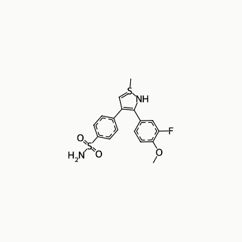 COc1ccc(C2=C(c3ccc(S(N)(=O)=O)cc3)C=S(C)N2)cc1F